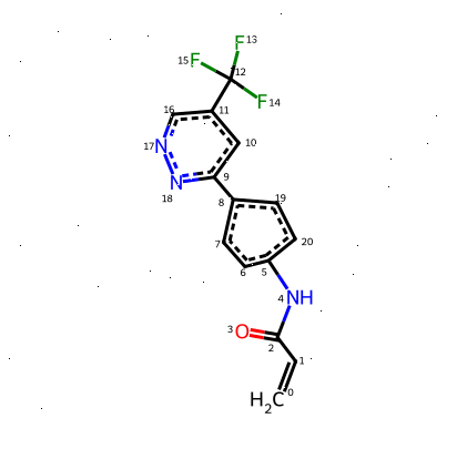 C=CC(=O)Nc1ccc(-c2cc(C(F)(F)F)cnn2)cc1